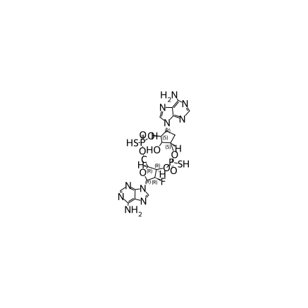 Nc1ncnc2c1ncn2[C@@H]1C[C@@H]2OP(=O)(S)O[C@H]3[C@@H](F)[C@H](n4cnc5c(N)ncnc54)O[C@@H]3COP(=O)(S)O[C@@H]1C2O